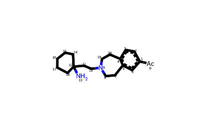 CC(=O)c1ccc2c(c1)CCN(CCC1(N)CCCCC1)CC2